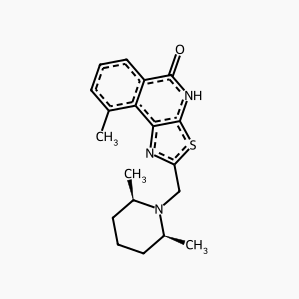 Cc1cccc2c(=O)[nH]c3sc(CN4[C@H](C)CCC[C@@H]4C)nc3c12